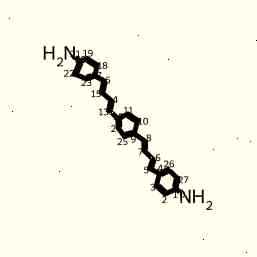 Nc1ccc(C=CC=Cc2ccc(C=CC=Cc3ccc(N)cc3)cc2)cc1